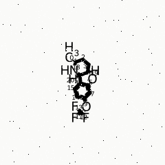 C[C@@H]1CC[C@@H]2Oc3cc(OC(F)(F)F)ccc3[C@@H]2N1